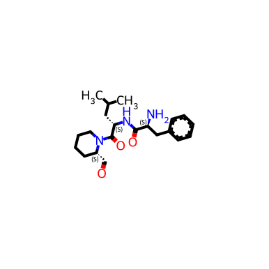 CC(C)C[C@H](NC(=O)[C@@H](N)Cc1ccccc1)C(=O)N1CCCC[C@H]1C=O